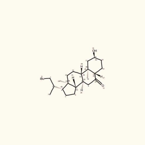 CCC(C)CC(C)[C@H]1CC[C@H]2[C@@H]3CC(=O)[C@H]4CC[C@H](O)C[C@]4(C)[C@H]3CC[C@]12C